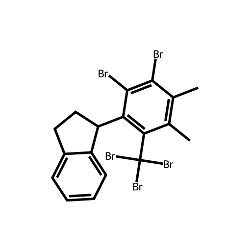 Cc1c(C)c(C(Br)(Br)Br)c(C2CCc3ccccc32)c(Br)c1Br